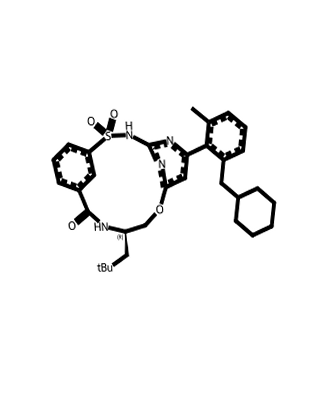 Cc1cccc(CC2CCCCC2)c1-c1cc2nc(n1)NS(=O)(=O)c1cccc(c1)C(=O)N[C@H](CC(C)(C)C)CO2